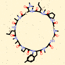 CC[C@H](C)C1NC(=O)C(C)N(C)C(=O)CC(C(=O)N(C)C)N(C)C(=O)C([C@@H](C)CC)N(C)C(=O)C2(CCCC2)NC(=O)CN(C)C(=O)CNC(=O)CN(C)C(=O)C(Cc2ccc(C)cc2)N(C)C(=O)C2CCN2C(=O)C(C)N(C)C1=O